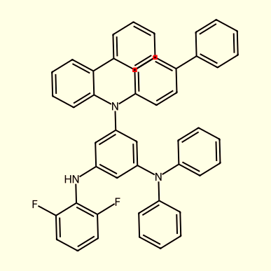 Fc1cccc(F)c1Nc1cc(N(c2ccccc2)c2ccccc2)cc(N(c2ccc(-c3ccccc3)cc2)c2ccccc2-c2ccccc2)c1